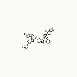 C[C@@H]1c2c(-n3ccn(-c4ccc5c(cnn5C)c4F)c3=O)c(-c3ccc(F)cc3)nn2CCN1C(=O)c1cc2cc([C@H]3CCOC(C)(C)C3)ccc2n1C1(c2noc(=O)[nH]2)CC1